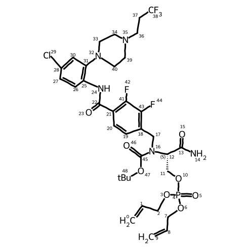 C=CCOP(=O)(OCC=C)OC[C@@H](C(N)=O)N(Cc1ccc(C(=O)Nc2ccc(Cl)cc2N2CCN(CCC(F)(F)F)CC2)c(F)c1F)C(=O)OC(C)(C)C